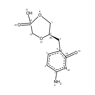 Nc1ccn(C[C@@H]2COP(=O)(O)CO2)c(=O)n1